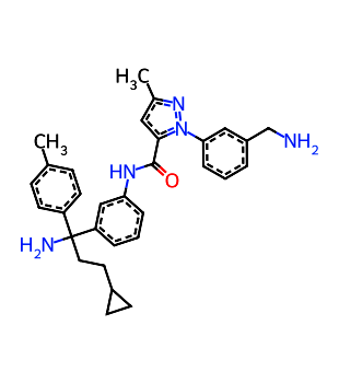 Cc1ccc(C(N)(CCC2CC2)c2cccc(NC(=O)c3cc(C)nn3-c3cccc(CN)c3)c2)cc1